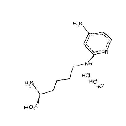 Cl.Cl.Cl.Nc1ccnc(NCCCC[C@H](N)C(=O)O)c1